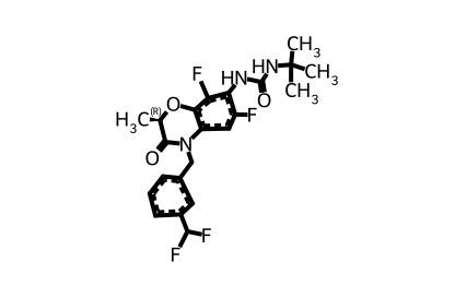 C[C@H]1Oc2c(cc(F)c(NC(=O)NC(C)(C)C)c2F)N(Cc2cccc(C(F)F)c2)C1=O